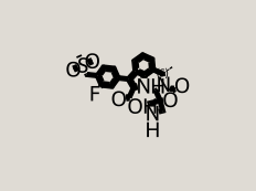 C[C@@H](c1cccc2c(-c3ccc(CS(C)(=O)=O)c(F)c3)c(C(=O)O)[nH]c12)N1CC2(CNC2)OC1=O